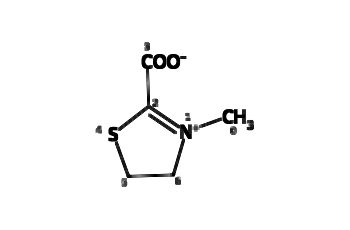 C[N+]1=C(C(=O)[O-])SCC1